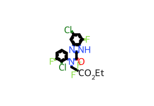 CCOC(=O)C(F)(F)CN(C(=O)c1nc2cc(Cl)cc(F)c2[nH]1)c1cccc(F)c1Cl